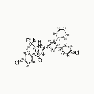 O=S(=O)(N=C(NCC(F)(F)F)n1cc(C2=CCCC=C2)c(-c2ccc(Cl)cc2)n1)c1ccc(Cl)cc1